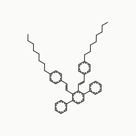 CCCCCCCCc1ccc(C=Cc2c(-c3ccccc3)ccc(-c3ccccc3)c2C=Cc2ccc(CCCCCCCC)cc2)cc1